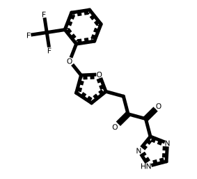 O=C(Cc1ccc(Oc2ccccc2C(F)(F)F)o1)C(=O)c1nc[nH]n1